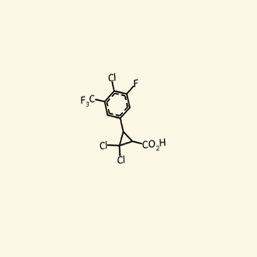 O=C(O)C1C(c2cc(F)c(Cl)c(C(F)(F)F)c2)C1(Cl)Cl